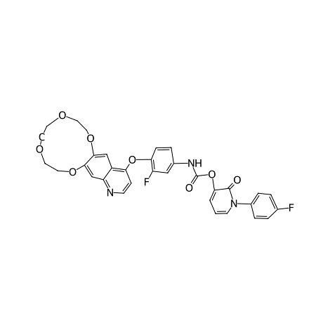 O=C(Nc1ccc(Oc2ccnc3cc4c(cc23)OCCOCCOCCO4)c(F)c1)Oc1cccn(-c2ccc(F)cc2)c1=O